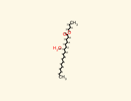 CCCCCCCCCCCCCCCCCC(=O)OCCCC.O